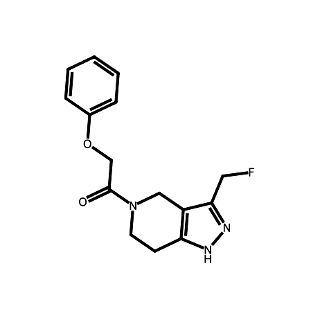 O=C(COc1ccccc1)N1CCc2[nH]nc(CF)c2C1